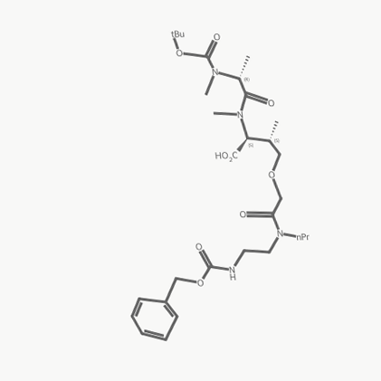 CCCN(CCNC(=O)OCc1ccccc1)C(=O)COC[C@@H](C)[C@@H](C(=O)O)N(C)C(=O)[C@@H](C)N(C)C(=O)OC(C)(C)C